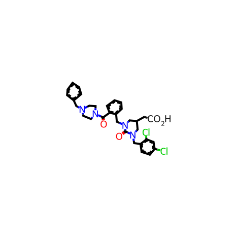 O=C(O)CC1CN(Cc2ccc(Cl)cc2Cl)C(=O)N(Cc2ccccc2C(=O)N2CCN(Cc3ccccc3)CC2)C1